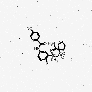 C[C@@]1(c2cc(NC(=O)c3ccc(C#N)cn3)ccc2F)CS(=O)(=O)C2(CCCC2)C(N)=N1